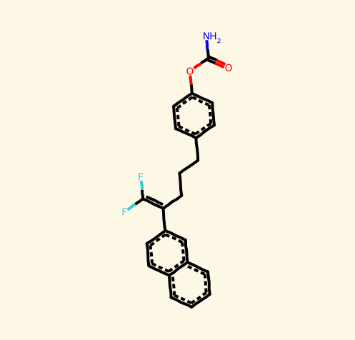 NC(=O)Oc1ccc(CCCC(=C(F)F)c2ccc3ccccc3c2)cc1